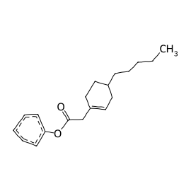 CCCCCC1CC=C(CC(=O)Oc2ccccc2)CC1